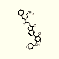 NCCN(Cc1ccccc1)C(=O)CN1Cc2ccc(-c3nc(NC4CCOCC4)ncc3Cl)cc2C1=O